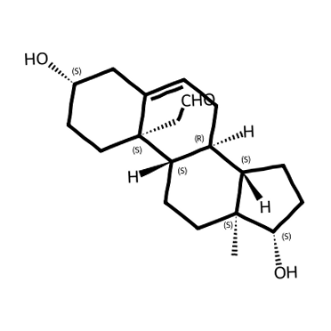 C[C@]12CC[C@H]3[C@@H](CC=C4C[C@@H](O)CC[C@@]43CC=O)[C@@H]1CC[C@@H]2O